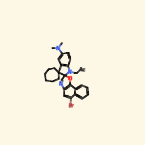 CC(=O)CN1c2ccc(N(C)C)cc2C2(CCCCCC2)C12C=Nc1cc(Br)c3ccccc3c1O2